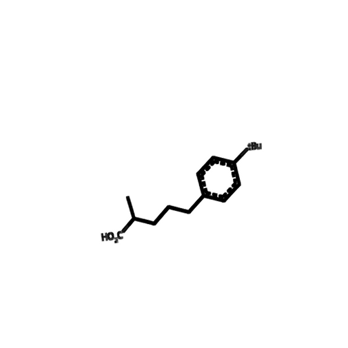 CC(CCCc1ccc(C(C)(C)C)cc1)C(=O)O